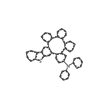 c1ccc(N(c2ccccc2)c2ccc3c(c2)c2ccccc2c2ccccc2c2ccccc2c2cc4c(cc32)sc2ccccc24)cc1